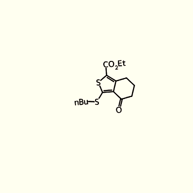 CCCCSc1sc(C(=O)OCC)c2c1C(=O)CCC2